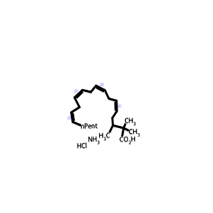 CCCCC/C=C\C/C=C\C/C=C\C/C=C\CC(C)C(C)(C)C(=O)O.Cl.N